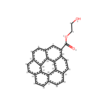 O=C(OCCO)c1cc2ccc3ccc4ccc5ccc6ccc1c1c6c5c4c3c21